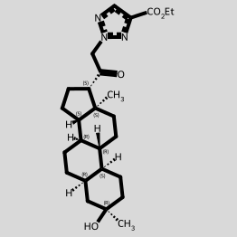 CCOC(=O)c1cnn(CC(=O)[C@H]2CC[C@H]3[C@@H]4CC[C@@H]5C[C@](C)(O)CC[C@@H]5[C@H]4CC[C@]23C)n1